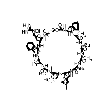 CC[C@H](C)[C@@H]1NC(=O)[C@H](C)NC(=O)[C@H](Cc2ccccc2)NC(=O)CSC[C@@H](C=O)NC(=O)[C@H](CCCNC(=N)N)NC(=O)[C@H](Cc2ccccc2)NC(=O)[C@H](C(C)C)NC(=O)[C@H](C)NC(=O)[C@H](CC(=O)O)NC(=O)[C@H](Cc2c[nH]cn2)NC(=O)[C@H]([C@@H](C)CC)NC(=O)[C@H](C)NC1=O